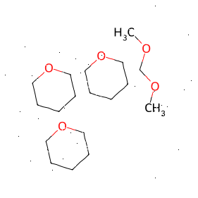 C1CCOCC1.C1CCOCC1.C1CCOCC1.COCOC